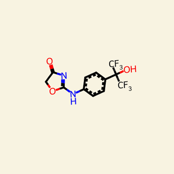 O=C1COC(Nc2ccc(C(O)(C(F)(F)F)C(F)(F)F)cc2)=N1